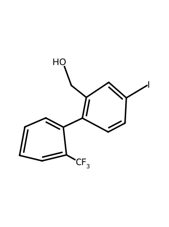 OCc1cc(I)ccc1-c1ccccc1C(F)(F)F